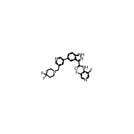 O=C(Nc1c(F)cncc1F)c1n[nH]c2ccc(-c3cncc(CN4CCC(F)(F)CC4)c3)cc12